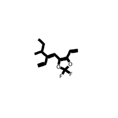 C=CC1=C(/C=C(\C=C)C(C)CC)OC(F)(F)O1